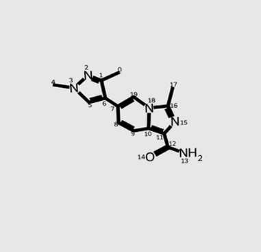 Cc1nn(C)cc1-c1ccc2c(C(N)=O)nc(C)n2c1